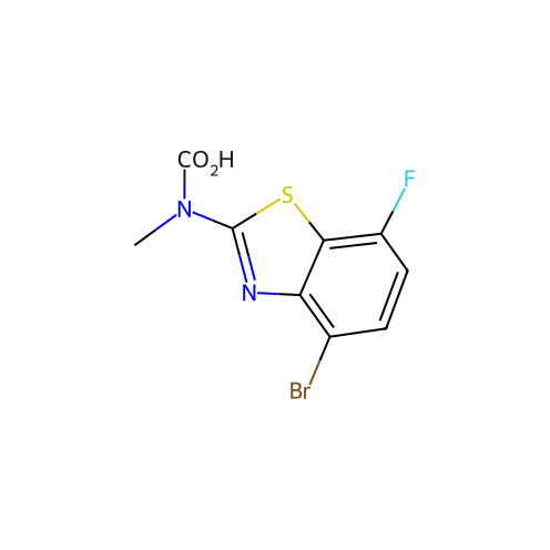 CN(C(=O)O)c1nc2c(Br)ccc(F)c2s1